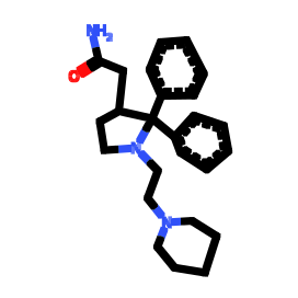 NC(=O)CC1CCN(CCN2CCCCC2)C1(c1ccccc1)c1ccccc1